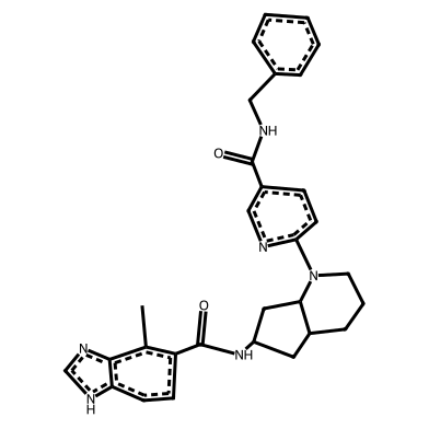 Cc1c(C(=O)NC2CC3CCCN(c4ccc(C(=O)NCc5ccccc5)cn4)C3C2)ccc2[nH]cnc12